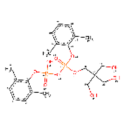 Cc1cccc(C)c1OP(=O)(O)OP(=O)(OCC(CO)(CO)CO)Oc1c(C)cccc1C